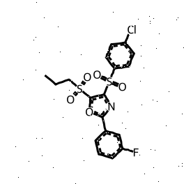 CCCS(=O)(=O)c1oc(-c2cccc(F)c2)nc1S(=O)(=O)c1ccc(Cl)cc1